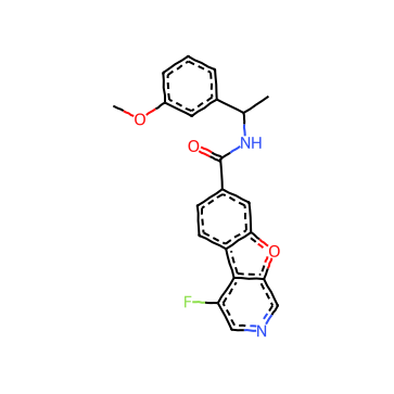 COc1cccc(C(C)NC(=O)c2ccc3c(c2)oc2cncc(F)c23)c1